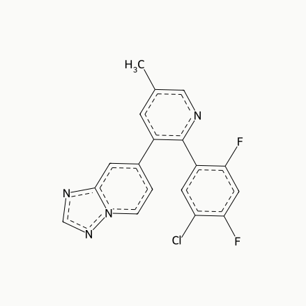 Cc1cnc(-c2cc(Cl)c(F)cc2F)c(-c2ccn3ncnc3c2)c1